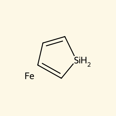 C1=C[SiH2]C=C1.[Fe]